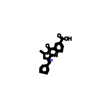 CC1C/C(=C\c2ccccc2)c2nc3ccc(C(=O)O)cc3c(=O)n21